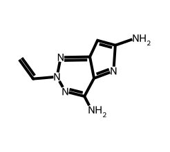 C=Cn1nc2cc(N)nc-2c(N)n1